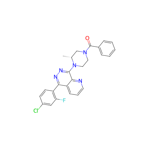 C[C@@H]1CN(C(=O)c2ccccc2)CCN1c1nnc(-c2ccc(Cl)cc2F)c2cccnc12